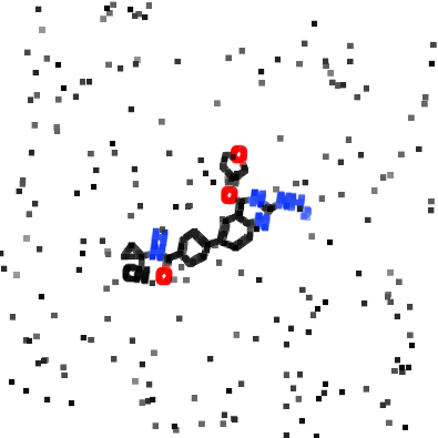 N#CC1(NC(=O)c2ccc(-c3ccc4nc(N)nc(O[C@@H]5CCOC5)c4c3)cc2)CC1